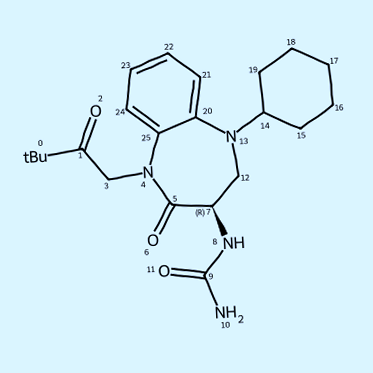 CC(C)(C)C(=O)CN1C(=O)[C@H](NC(N)=O)CN(C2CCCCC2)c2ccccc21